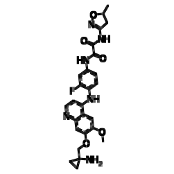 COc1cc2c(Nc3ccc(NC(=O)C(=O)NC4=NOC(C)C4)cc3F)ccnc2cc1OCC1(N)CC1